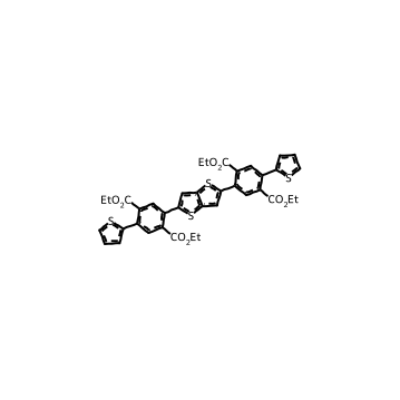 CCOC(=O)c1cc(-c2cc3sc(-c4cc(C(=O)OCC)c(-c5cccs5)cc4C(=O)OCC)cc3s2)c(C(=O)OCC)cc1-c1cccs1